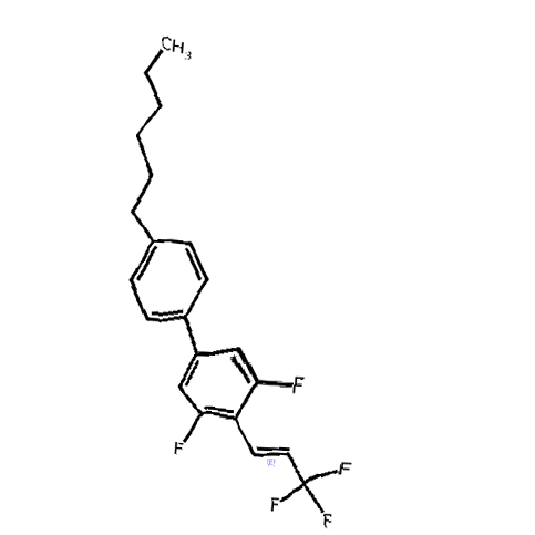 CCCCCCc1ccc(-c2cc(F)c(/C=C/C(F)(F)F)c(F)c2)cc1